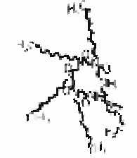 CCCCCCCCCCN(CC(N)=O)C(=O)CN(CCCCCCCCCC)C(=O)CN(CCCCCCCCCC)C(=O)CN(CCCCCCCCCC)C(=O)CNCCCN1CCN(CCCN)CC1